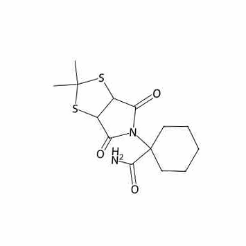 CC1(C)SC2C(=O)N(C3(C(N)=O)CCCCC3)C(=O)C2S1